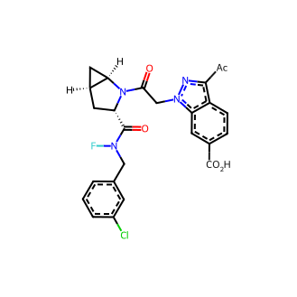 CC(=O)c1nn(CC(=O)N2[C@@H]3C[C@@H]3C[C@H]2C(=O)N(F)Cc2cccc(Cl)c2)c2cc(C(=O)O)ccc12